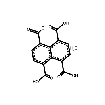 O.O=C(O)c1ccc(C(=O)O)c2c(C(=O)O)ccc(C(=O)O)c12